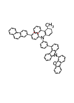 CC1CC=CC(N(c2ccc(-c3ccc4c(ccc5ccccc54)c3)cc2)c2cccc(-c3cccc4c3c3ccccc3n4-c3cccc4c3oc3ccccc34)c2)=C1c1ccccc1